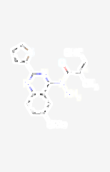 COc1ccc2nc(-c3cccs3)nc(N(N)C(=O)/C(C)=C\C=O)c2c1